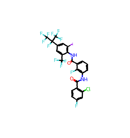 O=C(Nc1cccc(C(=O)Nc2c(I)cc(C(F)(C(F)(F)F)C(F)(F)F)cc2C(F)(F)F)c1F)c1ccc(F)cc1Cl